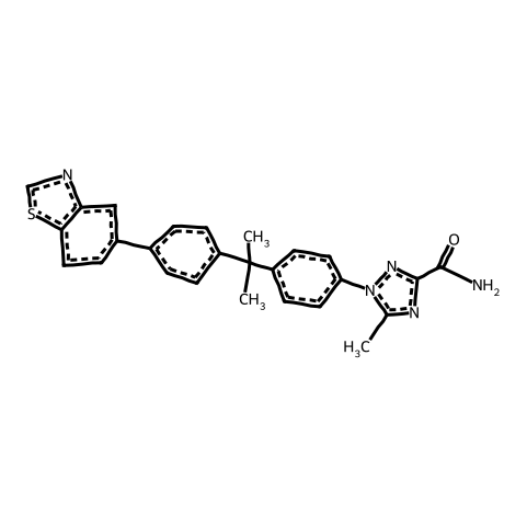 Cc1nc(C(N)=O)nn1-c1ccc(C(C)(C)c2ccc(-c3ccc4scnc4c3)cc2)cc1